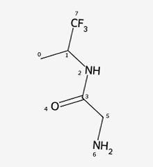 CC(NC(=O)CN)C(F)(F)F